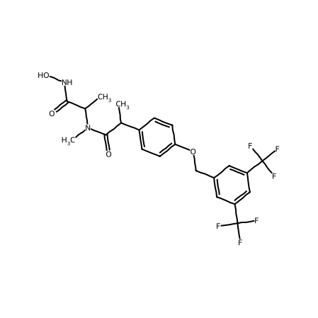 CC(C(=O)N(C)C(C)C(=O)NO)c1ccc(OCc2cc(C(F)(F)F)cc(C(F)(F)F)c2)cc1